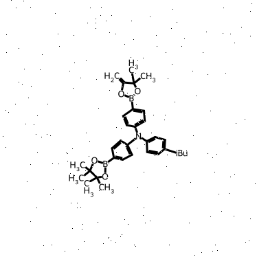 C=C1OB(c2ccc(N(c3ccc(B4OC(C)(C)C(C)(C)O4)cc3)c3ccc(C(C)CC)cc3)cc2)OC1(C)C